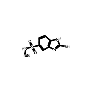 CCCCNS(=O)(=O)c1ccc2[nH]c(S)nc2c1